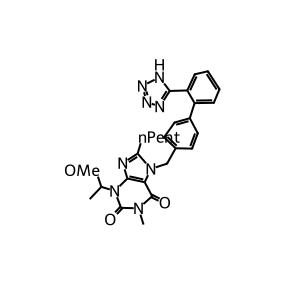 CCCCCc1nc2c(c(=O)n(C)c(=O)n2C(C)OC)n1Cc1ccc(-c2ccccc2-c2nnn[nH]2)cc1